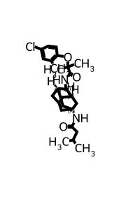 Cc1cc(Cl)ccc1OC(C)(C)C(=O)N[C@H]1[C@@H]2CC3C[C@H]1C[C@](NC(=O)CC(C)C)(C3)C2